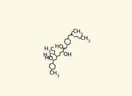 CCCC[C@@H](CC)CC1CCC(C[C@H](O)C(O)CCC(CC(O)C2CCC(C)CC2)C(C)CC)CC1